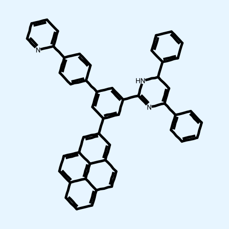 C1=C(c2ccccc2)N=C(c2cc(-c3ccc(-c4ccccn4)cc3)cc(-c3cc4ccc5cccc6ccc(c3)c4c56)c2)NC1c1ccccc1